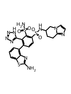 Nc1nc2c(-c3ccc(S(=O)(=O)NC4CCc5nccn5C4)c(S(N)(=O)=O)c3-c3nnn[nH]3)cccc2s1